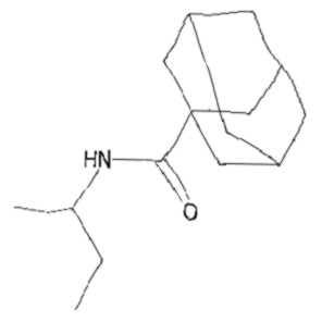 CCC(C)NC(=O)C12CC3CC(CC(C3)C1)C2